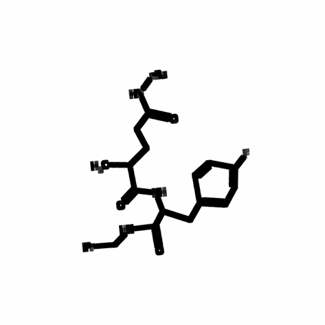 CCCCNC(=O)CCC(C)C(=O)NC(Cc1ccc(F)cc1)C(=O)NCC(C)C